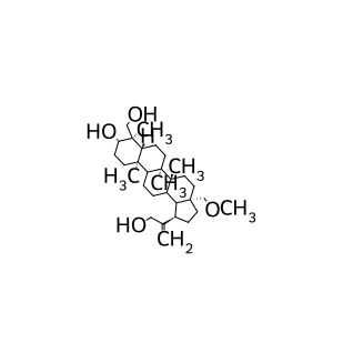 C=C(CO)[C@@H]1CC[C@]2(COC)CC[C@]3(C)C(CCC4[C@@]5(C)CC[C@H](O)[C@@](C)(CO)[C@@H]5CC[C@]43C)C12